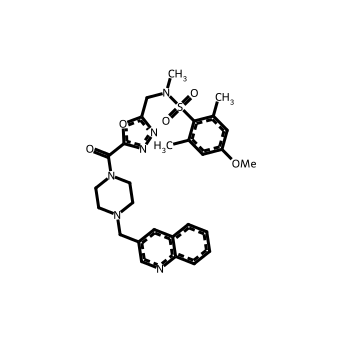 COc1cc(C)c(S(=O)(=O)N(C)Cc2nnc(C(=O)N3CCN(Cc4cnc5ccccc5c4)CC3)o2)c(C)c1